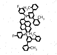 Cc1ccccc1-c1cc(-c2ccccc2C)cc(N(c2ccc(F)cc2)c2ccc3ccc4c(N(c5ccc(F)cc5)c5cc(-c6ccccc6C)cc(-c6ccccc6C)c5)ccc5ccc2c3c54)c1